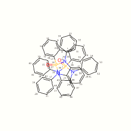 O=P1(c2ccccc2-c2ccccc2P2(=O)N(c3ccccc3)c3ccccc3N2c2ccccc2)N(c2ccccc2)c2ccccc2N1c1ccccc1